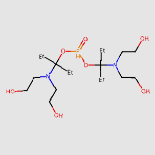 CCC(CC)(O[PH](=O)OC(CC)(CC)N(CCO)CCO)N(CCO)CCO